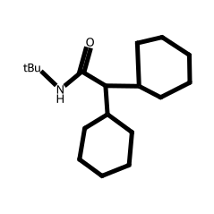 CC(C)(C)NC(=O)C(C1CCCCC1)C1CCCCC1